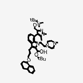 Cc1c(-c2cccc3c(CCCOc4cccc5ccccc45)c(C(O)OC(C)(C)C)n(CCN4CCN(C)CC4)c23)c(CO[Si](C)(C)C(C)(C)C)nn1C